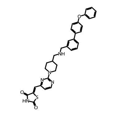 O=C1NC(=O)/C(=C/c2ccnc(N3CCC(CNCc4cccc(-c5ccc(Oc6ccccc6)cc5)c4)CC3)n2)S1